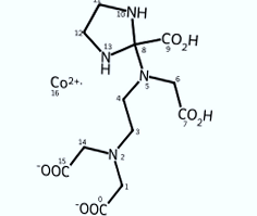 O=C([O-])CN(CCN(CC(=O)O)C1(C(=O)O)NCCN1)CC(=O)[O-].[Co+2]